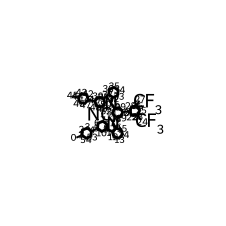 Cc1ccc(-c2ccc3c(c2)c2ccccc2n3-c2cc(-c3cc(C(F)(F)F)cc(C(F)(F)F)c3)cc(-n3c4ccccc4c4cc(-c5ccc(C)cc5)ccc43)c2C#N)cc1